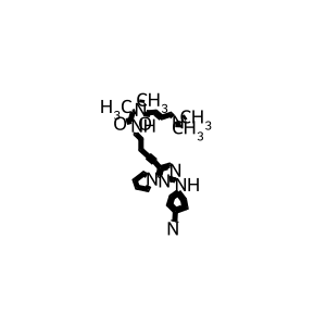 CC(C(=O)NCCCC#Cc1cnc(Nc2ccc(C#N)cc2)nc1N1CCCC1)N(C)C(=O)C=CCN(C)C